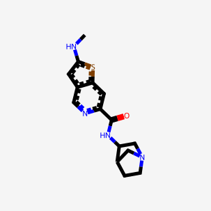 CNc1cc2cnc(C(=O)NC3CN4CCC3C4)cc2s1